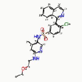 CCOCCNc1cc(C)c(NS(=O)(=O)c2ccc(Cl)c(-c3nccc4ccccc34)c2)cn1